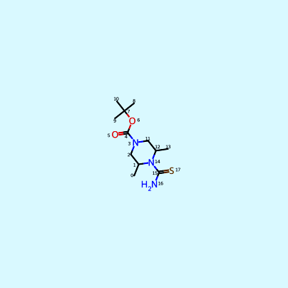 CC1CN(C(=O)OC(C)(C)C)CC(C)N1C(N)=S